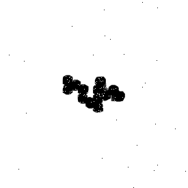 c1cc(-c2cccc(-c3ccc4c5ccccc5c5cc(-c6ccc(-c7cccc8c7sc7ccccc78)nc6-c6cccc7c6sc6ccccc67)ccc5c4c3)c2)cc(-c2ccc3c4ccccc4c4ccccc4c3c2)c1